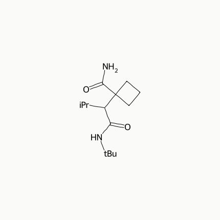 CC(C)C(C(=O)NC(C)(C)C)C1(C(N)=O)CCC1